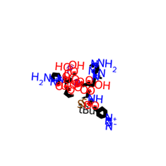 CC(C)(C)SSC[C@H](NC(=O)OCc1ccc(N=[N+]=[N-])cc1)C(=O)OC1C(COP(=O)(O)O[C@H]2[C@@H](OC3CCCO3)[C@H](n3ccc(N)nc3=O)O[C@@H]2COP(=O)(O)O)OC(n2cnc3c(N)ncnc32)C1O